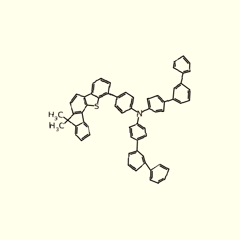 CC1(C)c2ccccc2-c2c1ccc1c2sc2c(-c3ccc(N(c4ccc(-c5cccc(-c6ccccc6)c5)cc4)c4ccc(-c5cccc(-c6ccccc6)c5)cc4)cc3)cccc21